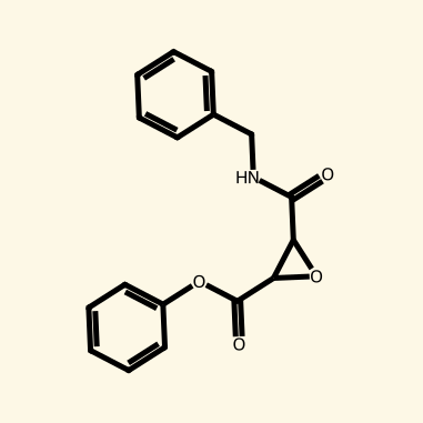 O=C(NCc1ccccc1)C1OC1C(=O)Oc1ccccc1